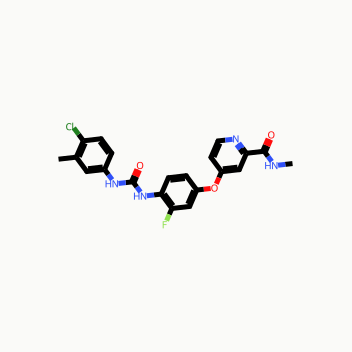 CNC(=O)c1cc(Oc2ccc(NC(=O)Nc3ccc(Cl)c(C)c3)c(F)c2)ccn1